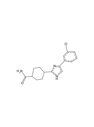 NC(=O)C1CCC(c2nc(-c3cccc(Cl)c3)c[nH]2)CC1